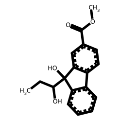 CCC(O)C1(O)c2ccccc2-c2ccc(C(=O)OC)cc21